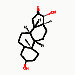 C[C@]12CC[C@H]3[C@@H](CCC4C[C@H](O)CC[C@@]43C)[C@@H]1CC(=O)[C@@H]2O